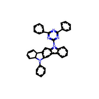 C1=CC2c3cc4c(cc3N(c3ccccc3)C2C=C1)c1ccccc1n4-c1nc(-c2ccccc2)nc(-c2ccccc2)n1